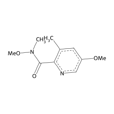 COc1cnc(C(=O)N(C)OC)c(C)c1